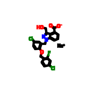 O=C([O-])c1cccc2c1c(CO)nn2Cc1cc(Cl)ccc1OCc1ccc(Cl)cc1F.[Na+]